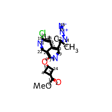 COC(=O)C1CC(Oc2ncc(C(C)(C)N=[N+]=[N-])c3cc(Cl)ncc23)C1